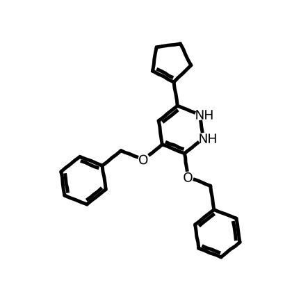 C1=C(C2=CC(OCc3ccccc3)=C(OCc3ccccc3)NN2)CCC1